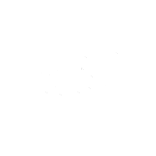 Cc1nc(NCCNC(=O)[C@@H]2CCCN2C(=O)OC(C)(C)C)cc(Nc2ncc(-c3ccncc3)s2)n1